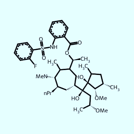 CCC[C@@H]1C[C@@H]([C@@](O)(C[C@@H](C)OC)[C@]2(O)C(C)C[C@H](C)[C@@H]2OC)CC([C@H](C)OC(=O)c2ccccc2NS(=O)(=O)c2ccccc2F)C(C)[C@H]1NC